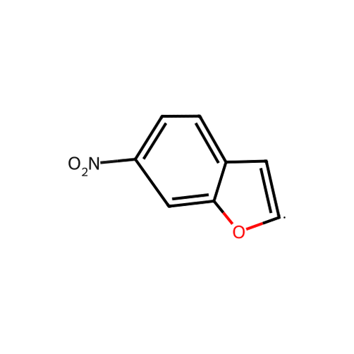 O=[N+]([O-])c1ccc2c[c]oc2c1